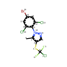 Cc1c(SC(F)(F)Cl)cnn1-c1c(Cl)cc(Br)cc1Cl